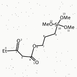 CCC(=O)CC(=O)OCCC[Si](OC)(OC)OC